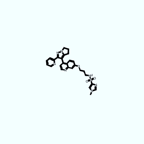 Cn1cnc(S(=O)(=O)NCCCOc2ccc3c(-c4c(-c5ccccn5)nn5c4CCC5)ccnc3c2)c1